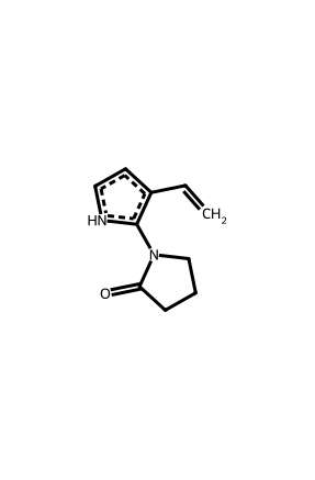 C=Cc1cc[nH]c1N1CCCC1=O